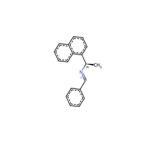 C[C@@H](/N=C/c1ccccc1)c1cccc2ccccc12